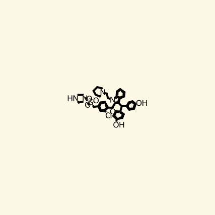 O=C(c1ccc(CS(=O)(=O)ON2CCNCC2)cc1Cl)c1c(C(c2ccc(O)cc2)c2ccc(O)cc2)c2ccccc2n1CCN1CCCCC1